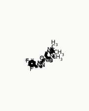 Cc1nn2c(c1C)N(C)C(=O)[C@@H](NC(=O)c1ncn(Cc3ccc(F)cc3F)n1)CC2